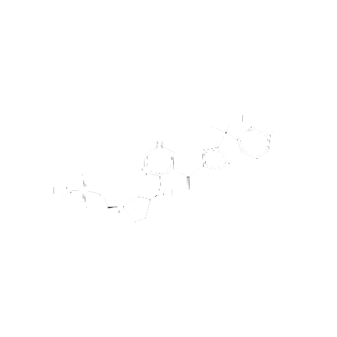 CC(O)(c1cccc(Cl)c1)c1csc(C(=O)c2cncnc2N[C@H]2CC[C@@H](COS(N)(=O)=O)C2)c1